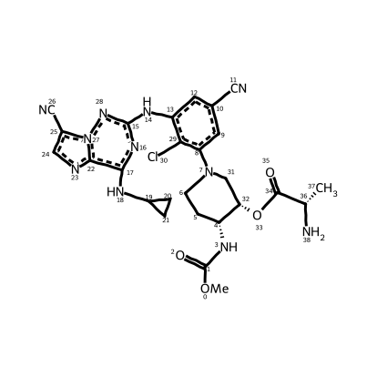 COC(=O)N[C@@H]1CCN(c2cc(C#N)cc(Nc3nc(NC4CC4)c4ncc(C#N)n4n3)c2Cl)C[C@@H]1OC(=O)[C@H](C)N